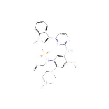 C=CCN(c1cc(Nc2nccc(-c3cn(C)c4ccccc34)n2)c(OC)cc1N(C)CCN(C)C)S(C)(=O)=O